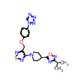 CC(C)c1noc(C2CCN(c3nsnc3COc3ccc(-n4cnnn4)cc3)CC2)n1